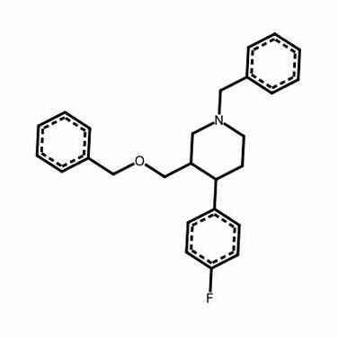 Fc1ccc(C2CCN(Cc3ccccc3)CC2COCc2ccccc2)cc1